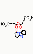 O=C(O)CCCC(=O)OC(=O)CCCC(=O)O.O=C1CCCc2nc3ccccc3n21